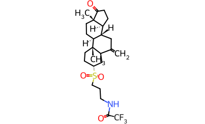 C=C1C[C@@H]2[C@H](CC[C@]3(C)C(=O)CC[C@@H]23)[C@@]2(C)CC[C@@H](S(=O)(=O)CCCNC(=O)C(F)(F)F)CC12